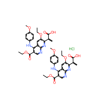 C=C(C(=O)O)c1nc2ncc(C(=O)OCC)c(Nc3ccc(OC)cc3)c2cc1OCC.C=C(C(=O)O)c1nc2ncc(C(=O)OCC)c(Nc3ccc(OC)cc3)c2cc1OCC.Cl